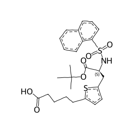 CC(C)(C)OC(=O)[C@H](Cc1ccc(CCCCC(=O)O)s1)NS(=O)(=O)c1cccc2ccccc12